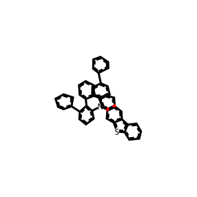 c1ccc(-c2ccc(N(c3ccc4c(c3)sc3ccccc34)c3cccc(-c4ccccc4)c3-c3ccccc3-c3ccccc3)cc2)cc1